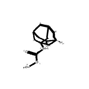 CCCCOC(=O)NC12CC3CC(C1)C(S)[C@@H](C3)C2